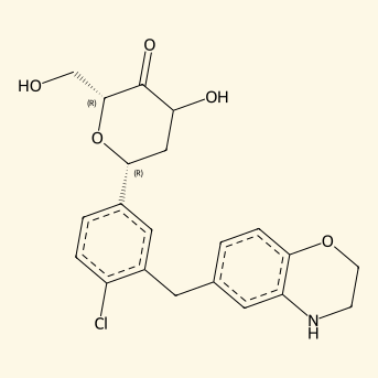 O=C1C(O)C[C@H](c2ccc(Cl)c(Cc3ccc4c(c3)NCCO4)c2)O[C@@H]1CO